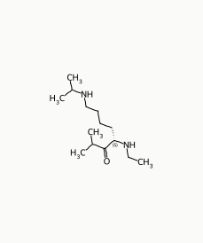 CCN[C@@H](CCCCNC(C)C)C(=O)C(C)C